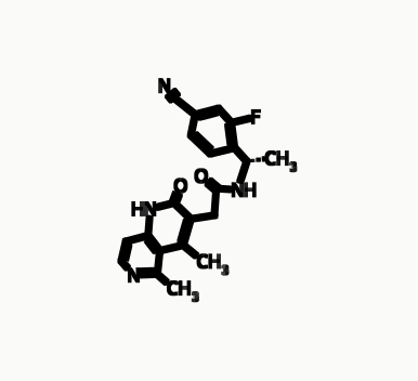 Cc1nccc2[nH]c(=O)c(CC(=O)N[C@@H](C)c3ccc(C#N)cc3F)c(C)c12